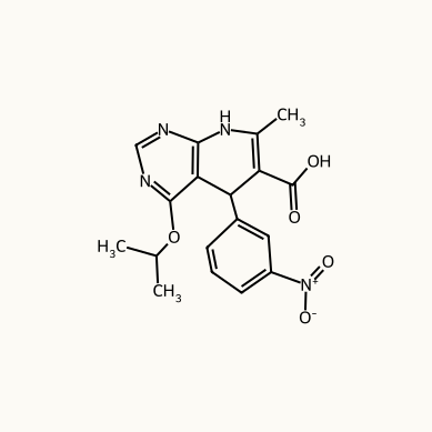 CC1=C(C(=O)O)C(c2cccc([N+](=O)[O-])c2)c2c(ncnc2OC(C)C)N1